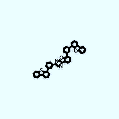 c1cc(-c2cccc3c2oc2ccccc23)cc(-c2cccc3c2oc2nc(-c4cccc(-c5cccc6c5sc5ccccc56)c4)cnc23)c1